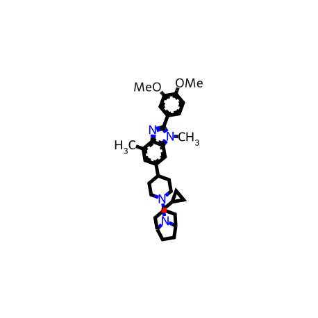 COc1ccc(-c2nc3c(C)cc(C4CCN(C5CC6CCC(C5)N6CC5CC5)CC4)cc3n2C)cc1OC